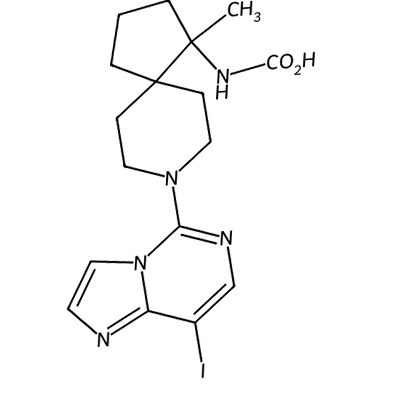 CC1(NC(=O)O)CCCC12CCN(c1ncc(I)c3nccn13)CC2